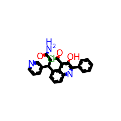 NC(=O)CC(c1cccnc1)c1cccc2nc(-c3ccccc3)c(O)c(C(=O)Cl)c12